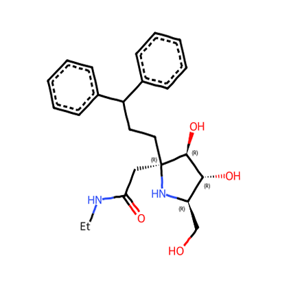 CCNC(=O)C[C@@]1(CCC(c2ccccc2)c2ccccc2)N[C@H](CO)[C@@H](O)[C@@H]1O